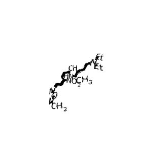 C=NO\N=C/C=C(\C=C/C(=C)NC(C)CCCN(CC)CC)[N+](=O)[O-]